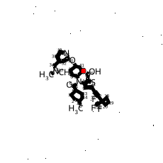 CC1CCC(C(=O)N(c2cc(C#CC3(C(F)(F)F)CCC3)sc2C(=O)O)C2CCC(Oc3cc(CN(C)C)ccn3)CC2)CC1